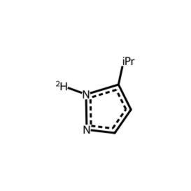 [2H]n1nccc1C(C)C